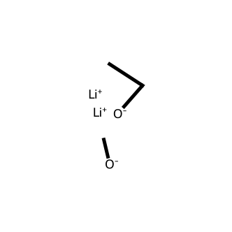 CC[O-].C[O-].[Li+].[Li+]